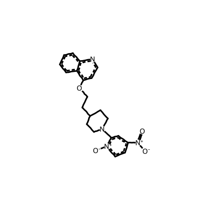 O=[N+]([O-])c1cc[n+]([O-])c(N2CCC(CCOc3ccnc4ccccc34)CC2)c1